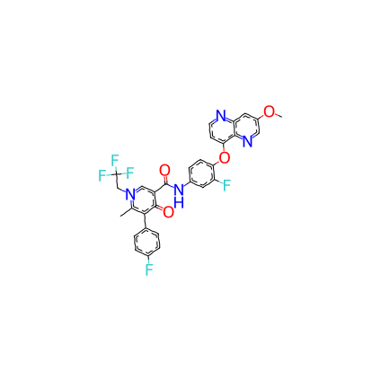 COc1cnc2c(Oc3ccc(NC(=O)c4cn(CC(F)(F)F)c(C)c(-c5ccc(F)cc5)c4=O)cc3F)ccnc2c1